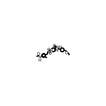 CCOCC1CCC(C2=NC3(CCN(S(=O)(=O)CCc4ccc(NC(C)=O)cc4C)CC3)C(=O)N2)CC1